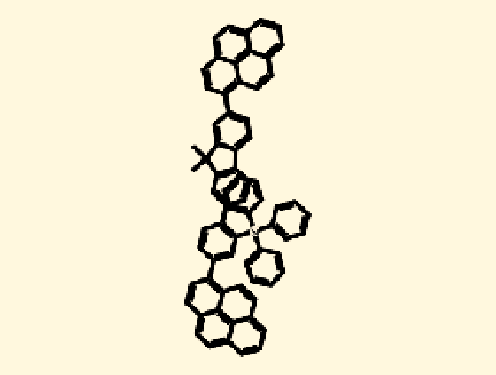 CC1(C)c2cc(-c3ccc(-c4ccc5ccc6cccc7ccc4c5c67)cc3[Si](c3ccccc3)(c3ccccc3)c3ccccc3)ccc2-c2ccc(-c3ccc4ccc5cccc6ccc3c4c56)cc21